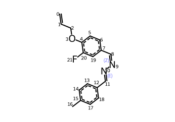 C=CCOc1ccc(/C=N\N=C\c2ccc(C)cc2)cc1F